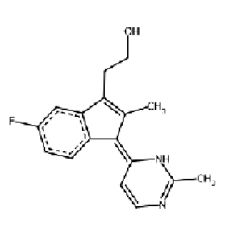 CC1=NC=CC(=C2C(C)=C(CCO)c3cc(F)ccc32)N1